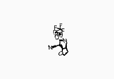 N#Cc1c(OS(=O)(=O)C(F)(F)F)ncc2ccoc12